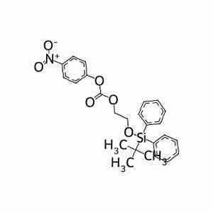 CC(C)(C)[Si](OCCOC(=O)Oc1ccc([N+](=O)[O-])cc1)(c1ccccc1)c1ccccc1